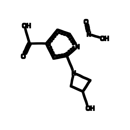 O=C(O)c1ccnc(N2CC(O)C2)c1.O=NO